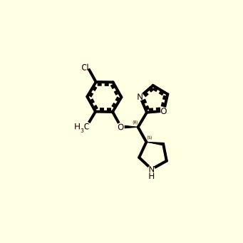 Cc1cc(Cl)ccc1O[C@@H](c1ncco1)[C@H]1CCNC1